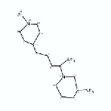 CC1CCCN(C(C)CCCC2CCN(C(C)C)CC2)C1